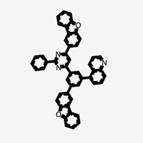 c1ccc(-c2nc(-c3cc(-c4ccc5oc6ccccc6c5c4)cc(-c4cccc5ncccc45)c3)cc(-c3ccc4oc5ccccc5c4c3)n2)cc1